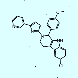 COc1ccc(C2c3[nH]c4c(c3CCN2c2nc(-c3cccnc3)cs2)=CC(Cl)CC=4)cc1